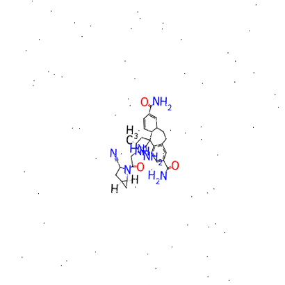 C[C@H](CC1(C(=N)N)c2ccc(C(N)=O)cc2CCC2C=C(C(N)=O)C=CC21)NCC(=O)N1C(C#N)C[C@@H]2C[C@@H]21